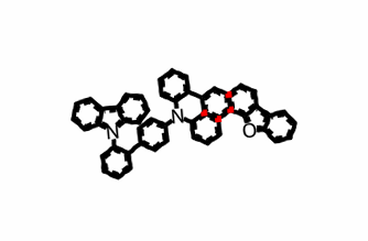 c1ccc(-c2ccccc2N(c2ccc(-c3ccccc3-n3c4ccccc4c4ccccc43)cc2)c2cccc(-c3cccc4c3oc3ccccc34)c2)cc1